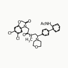 CC(=O)Nc1ccccc1-c1ccc(C(CN(C)C(=O)CN2C(=O)COc3cc(Cl)c(Cl)cc32)N2CCOCC2)cc1